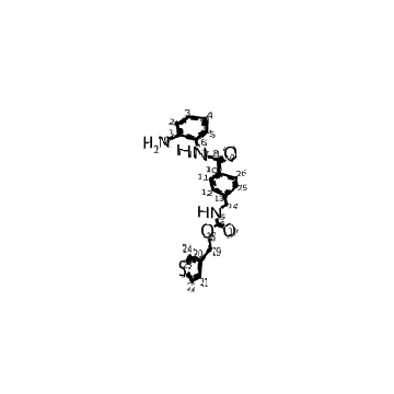 Nc1ccccc1NC(=O)c1ccc(CNC(=O)OCc2ccsc2)cc1